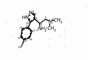 CN(C)CC(N)c1cn[nH]c1-c1ccc(F)cc1